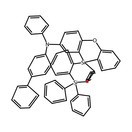 c1ccc(-c2ccc(N(c3ccccc3)c3ccc4c(c3)[Si]3(c5ccccc5O4)c4ccccc4[Si](c4ccccc4)(c4ccccc4)c4ccccc43)cc2)cc1